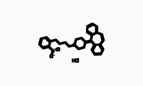 Cl.O=[N+]([O-])c1ccccc1CCCCN1CCC(=C2c3ccccc3C=Cc3ccccc32)CC1